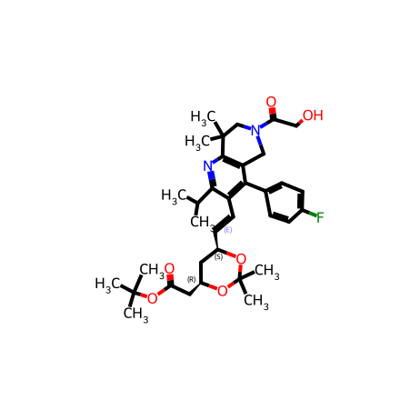 CC(C)c1nc2c(c(-c3ccc(F)cc3)c1/C=C/[C@@H]1C[C@H](CC(=O)OC(C)(C)C)OC(C)(C)O1)CN(C(=O)CO)CC2(C)C